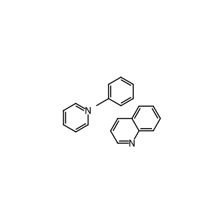 Cc1ccccc1.c1ccc2ncccc2c1.c1ccncc1